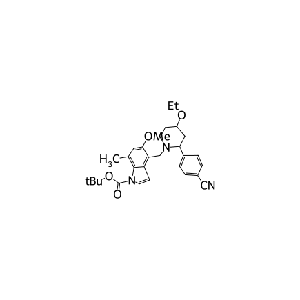 CCOC1CCN(Cc2c(OC)cc(C)c3c2ccn3C(=O)OC(C)(C)C)C(c2ccc(C#N)cc2)C1